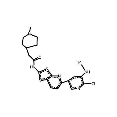 CN1CCC(CC(=O)Nc2nc3ccc(-c4cnc(Cl)c(NS)c4)nc3s2)CC1